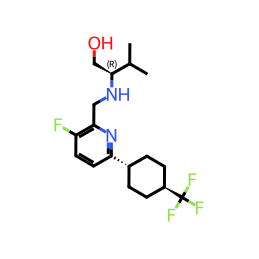 CC(C)[C@H](CO)NCc1nc([C@H]2CC[C@H](C(F)(F)F)CC2)ccc1F